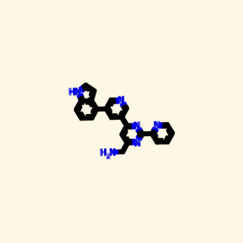 NCc1cc(-c2cncc(-c3cccc4[nH]ccc34)c2)nc(-c2ccccn2)n1